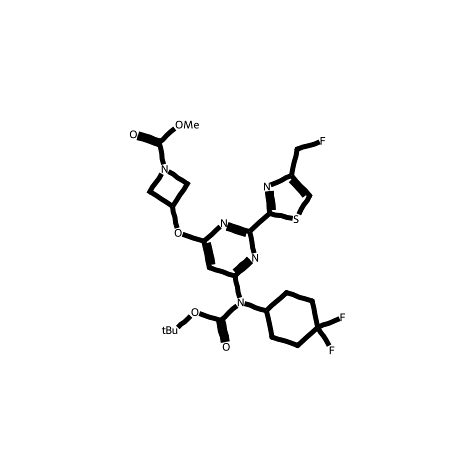 COC(=O)N1CC(Oc2cc(N(C(=O)OC(C)(C)C)C3CCC(F)(F)CC3)nc(-c3nc(CF)cs3)n2)C1